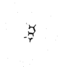 Cc1cc2nc(O)n(C)c2nc1C(C)C